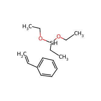 C=Cc1ccccc1.CCO[SiH](CC)OCC